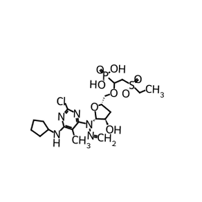 C=NN(c1nc(Cl)nc(NC2CCCC2)c1C)[C@@H]1O[C@H](COC(CS(=O)(=O)CC)P(=O)(O)O)C[C@H]1O